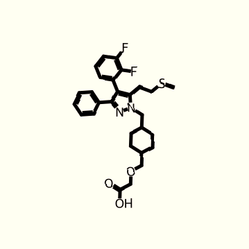 CSCCc1c(-c2cccc(F)c2F)c(-c2ccccc2)nn1CC1CCC(COCC(=O)O)CC1